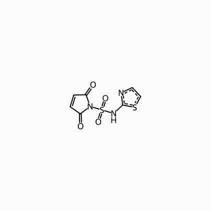 O=C1C=CC(=O)N1S(=O)(=O)Nc1nccs1